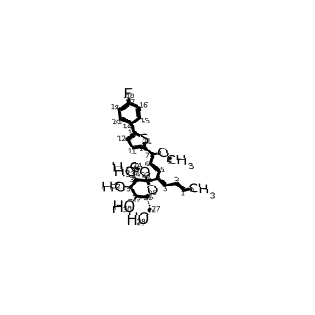 C/C=C/C=C(\C=C\C(OC)c1ccc(-c2ccc(F)cc2)s1)[C@]1(OC)O[C@H](CO)[C@@H](O)[C@H](O)[C@H]1O